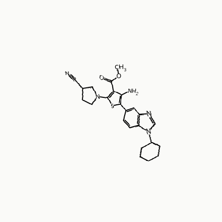 COC(=O)c1c(N2CCC(C#N)C2)sc(-c2ccc3c(c2)ncn3C2CCCCC2)c1N